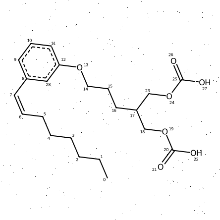 CCCCCC/C=C\c1cccc(OCCCC(COC(=O)O)COC(=O)O)c1